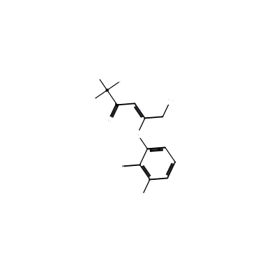 N=C(/C=C(/CN)Nc1cccc(Cl)c1Cl)C(F)(F)F